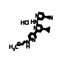 COCCNc1ccc(-c2cc(C3CC3)cc(Nc3cc(C#N)ccn3)n2)cn1.Cl